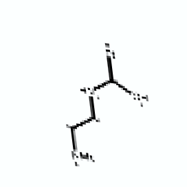 CCC(O)NCCNC